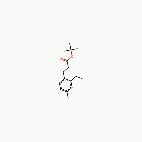 CCc1cc(C)ccc1CCC(=O)OC(C)(C)C